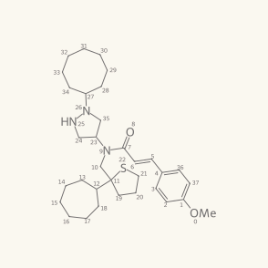 COc1ccc(/C=C/C(=O)N(CC2(C3CCCCCC3)CCCS2)C2CNN(C3CCCCCCC3)C2)cc1